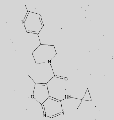 Cc1ccc(C2CCN(C(=O)c3c(C)oc4ncnc(NC5(C)CC5)c34)CC2)cn1